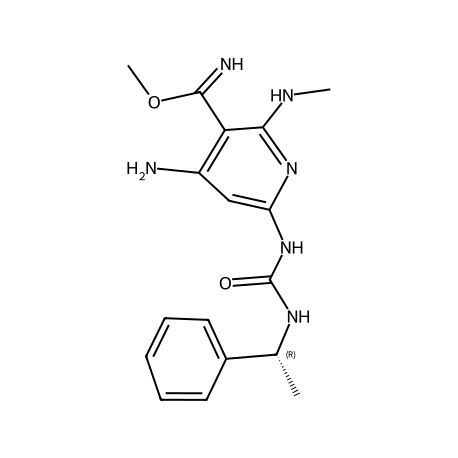 CNc1nc(NC(=O)N[C@H](C)c2ccccc2)cc(N)c1C(=N)OC